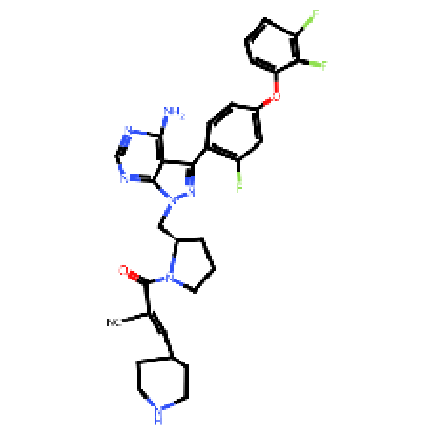 N#CC(=CC1CCNCC1)C(=O)N1CCC[C@@H]1Cn1nc(-c2ccc(Oc3cccc(F)c3F)cc2F)c2c(N)ncnc21